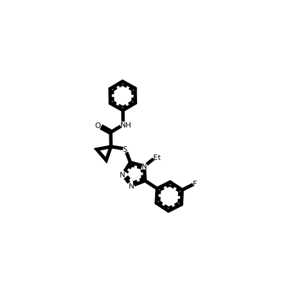 CCn1c(SC2(C(=O)Nc3ccccc3)CC2)nnc1-c1cccc(F)c1